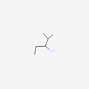 CCC(N)[C](C)C